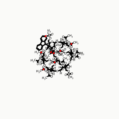 CC(=O)O[C@@H]1[C@@H](OC(C)=O)[C@H]2O[C@H]3[C@H](OC(C)=O)[C@@H](OCCCSCCNC(=O)OCC4c5ccccc5-c5ccccc54)[C@@H](O[C@H]4[C@H](OC(C)=O)[C@@H](OC(C)=O)[C@@H](O[C@@H]5[C@@H](OC(C)=O)[C@H](OC(C)=O)[C@H](O[C@@H]6[C@@H](OC(C)=O)[C@H](OC(C)=O)[C@H](O[C@@H]7[C@@H](OC(C)=O)[C@H](OC(C)=O)[C@H](O[C@@H]1[C@@H](COS(C)(=O)=O)O2)O[C@H]7COS(C)(=O)=O)O[C@H]6COS(C)(=O)=O)O[C@H]5COS(C)(=O)=O)O[C@@H]4COS(C)(=O)=O)O[C@@H]3COS(C)(=O)=O